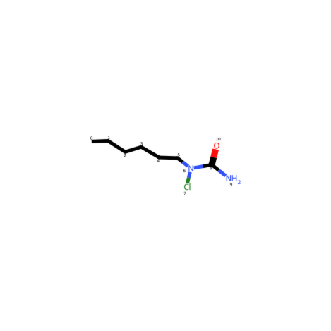 CCCCCCN(Cl)C(N)=O